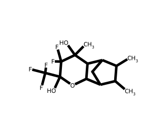 CC1C(C)C2CC1C1OC(O)(C(F)(F)F)C(F)(F)C(C)(O)C21